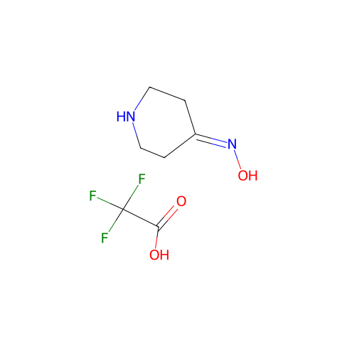 O=C(O)C(F)(F)F.ON=C1CCNCC1